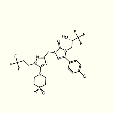 O=c1n(Cc2nc(N3CCS(=O)(=O)CC3)n(CCC(F)(F)F)n2)nc(-c2ccc(Cl)cc2)n1C[C@H](O)C(F)(F)F